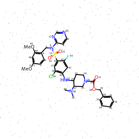 COc1ccc(CN(c2ccncn2)S(=O)(=O)c2cc(Cl)c(NC3CCN(C(=O)OCc4ccccc4)CC3N(C)C)cc2F)c(OC)c1